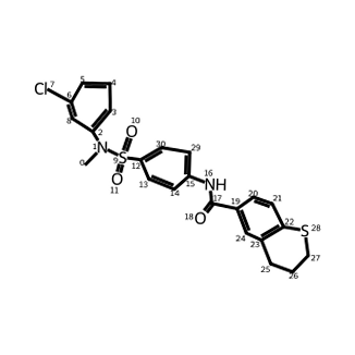 CN(c1cccc(Cl)c1)S(=O)(=O)c1ccc(NC(=O)c2ccc3c(c2)CCCS3)cc1